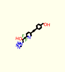 OCc1ccc(C#Cc2ccc(C(F)(F)C(O)Cn3cnnn3)nc2)cc1